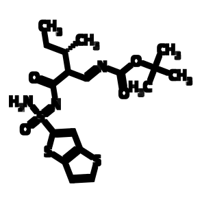 CC[C@H](C)C(/C=N/C(=O)OC(C)(C)C)C(=O)N=S(N)(=O)c1cc2sccc2s1